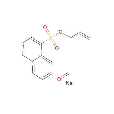 C=CCOS(=O)(=O)c1cccc2ccccc12.C=O.[Na]